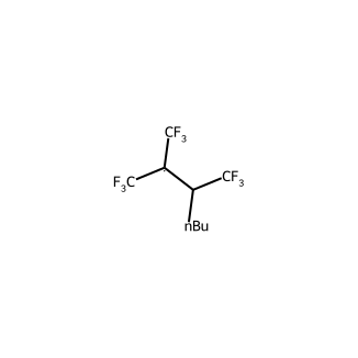 CCCCC([C](C(F)(F)F)C(F)(F)F)C(F)(F)F